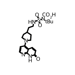 CC(C)(C)N(C(=O)O)S(=O)(=O)NCCC1CCN(c2ccnc3[nH]c(=O)ccc23)CC1